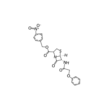 O=C(COc1ccccc1)N[C@@H]1C(=O)N2C(C(=O)OCc3ccc([N+](=O)[O-])cc3)CS[C@@H]12